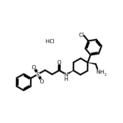 Cl.NC[C@]1(c2cccc(Cl)c2)CC[C@H](NC(=O)CCS(=O)(=O)c2ccccc2)CC1